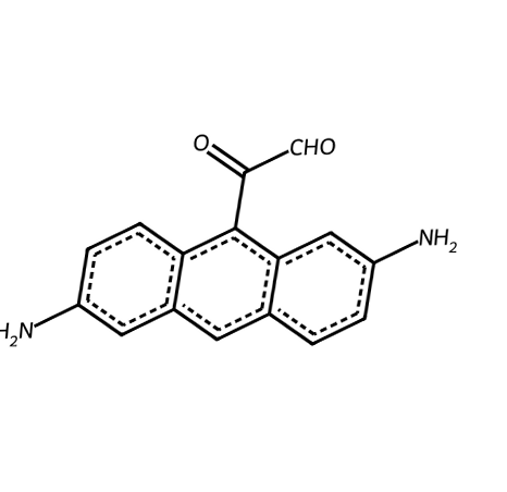 Nc1ccc2c(C(=O)C=O)c3cc(N)ccc3cc2c1